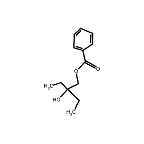 CCC(O)(CC)COC(=O)c1ccccc1